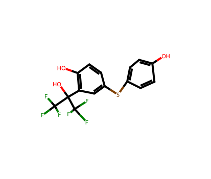 Oc1ccc(Sc2ccc(O)c(C(O)(C(F)(F)F)C(F)(F)F)c2)cc1